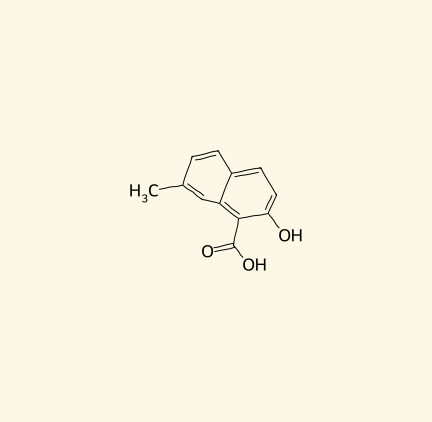 Cc1ccc2ccc(O)c(C(=O)O)c2c1